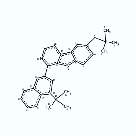 CC(C)(C)Cc1ccc2sc3c(-c4cc(C(C)(C)C)c5ccccc5c4)nccc3c2c1